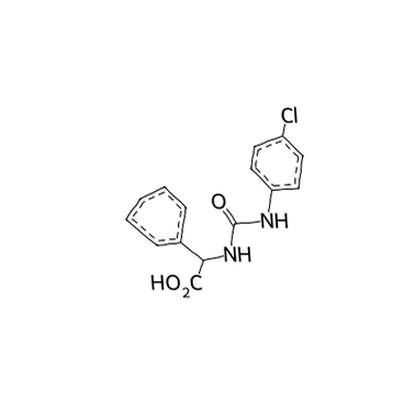 O=C(Nc1ccc(Cl)cc1)NC(C(=O)O)c1ccccc1